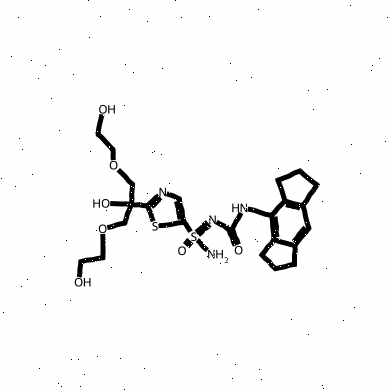 NS(=O)(=NC(=O)Nc1c2c(cc3c1CCC3)CCC2)c1cnc(C(O)(COCCO)COCCO)s1